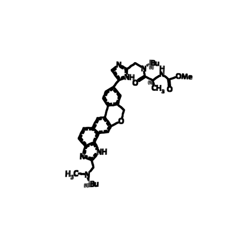 CC[C@H](C)N(C)Cc1nc2ccc3cc4c(cc3c2[nH]1)OCc1cc(-c2cnc(CN(C(=O)[C@H](C)NC(=O)OC)[C@@H](C)CC)[nH]2)ccc1-4